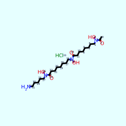 CC(=O)N(O)CCCCCCCC(=O)N(O)CCCCCCCC(=O)N(O)CCCCCN.Cl